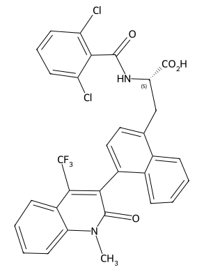 Cn1c(=O)c(-c2ccc(C[C@H](NC(=O)c3c(Cl)cccc3Cl)C(=O)O)c3ccccc23)c(C(F)(F)F)c2ccccc21